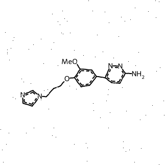 COc1cc(-c2ccc(N)nn2)ccc1OCCCn1ccnc1